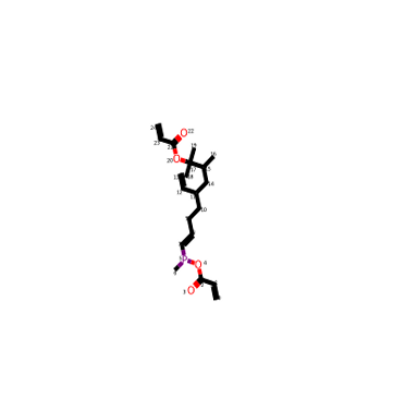 C=CC(=O)OP(C)/C=C/CCC(C=C)CC(C)C(C)(C)OC(=O)C=C